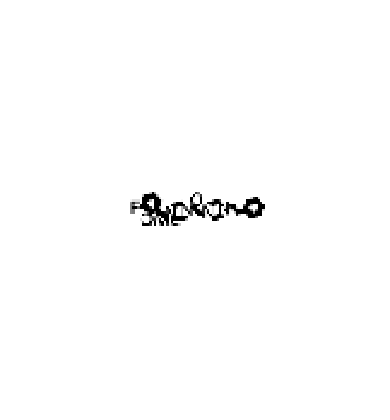 COc1c(F)cccc1CN1CCN(C(=O)CN2CCN(CCc3ccccc3)CC2)CC1